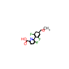 COCC1C=C(F)C(c2nc(C(=O)O)ccc2F)=C(F)C1